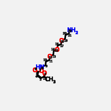 CC(=O)/C=C\C(=O)ONCCCOCCOCCOCCCN